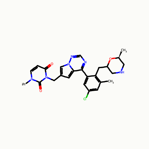 Cc1cc(Cl)cc(-c2ncnn3cc(Cn4c(=O)ccn(C(C)C)c4=O)cc23)c1CC1CNC[C@H](C)O1